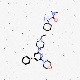 CN(C)C(=O)N[C@H]1CC[C@H](CCN2CCN(c3cc(-c4ccccc4)cc(N4CCOCC4)n3)CC2)CC1